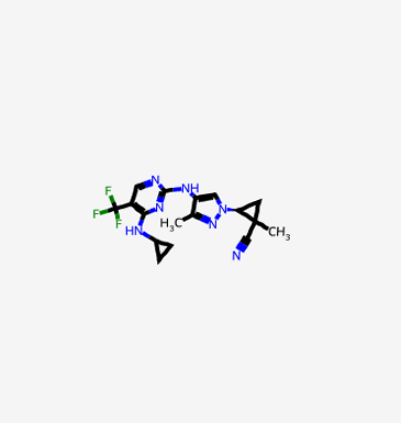 Cc1nn([C@H]2CC2(C)C#N)cc1Nc1ncc(C(F)(F)F)c(NC2CC2)n1